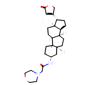 C[C@]12CC[C@H](NC(=O)CN3CCOCC3)C[C@H]1CC[C@H]1C3=CC[C@H](C4=CC(=O)OC4)[C@@]3(C)CC[C@@H]12